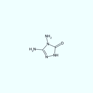 Nc1n[nH]c(=O)n1N